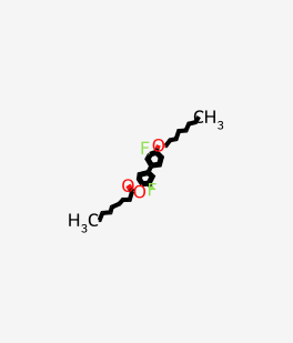 CCCCCCCCOc1ccc(-c2ccc(OC(=O)CCCCCCCC)c(F)c2)cc1F